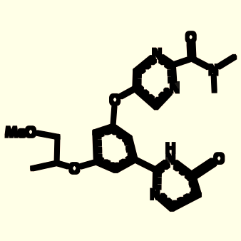 COCC(C)Oc1cc(Oc2cnc(C(=O)N(C)C)nc2)cc(-c2nccc(=O)[nH]2)c1